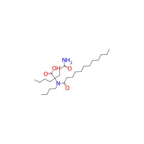 CCCCCCCCCCCC(=O)N(CCCC)C(CCCC)(CCC(N)=O)C(=O)O